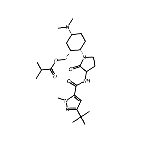 CC(C)C(=O)OC[C@@H]1C[C@H](N(C)C)CC[C@@H]1N1CCC(NC(=O)c2cc(C(C)(C)C)nn2C)C1=O